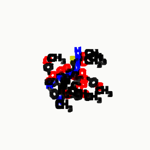 COc1ccc(COC(=O)C2=C(C[N+]3(Cc4ccc5c(c4)c(=O)c(OCc4ccc(OC)cc4)cn5C)CCCC3)CS[C@@H]3[C@H](NC(=O)C(=NO[C@@H](CC(=O)OC(C)(C)C)C(=O)OCc4ccc(OC)cc4)c4csc(NC(=O)OC(C)(C)C)n4)C(=O)N23)cc1